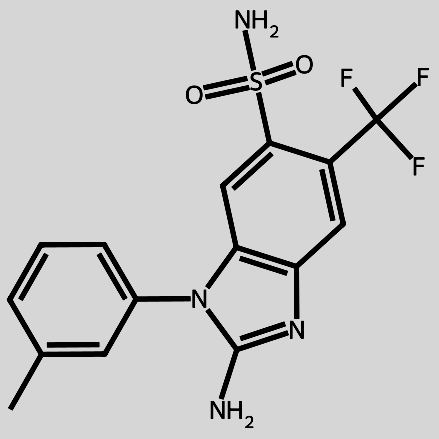 Cc1cccc(-n2c(N)nc3cc(C(F)(F)F)c(S(N)(=O)=O)cc32)c1